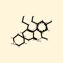 CCCC1=C(c2c(CC)cc(C)cc2CC)C(=O)CC2(CCOCC2)C1